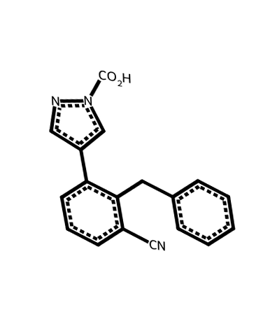 N#Cc1cccc(-c2cnn(C(=O)O)c2)c1Cc1ccccc1